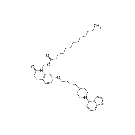 CCCCCCCCCCCCC(=O)OCN1C(=O)CCc2ccc(OCCCCN3CCN(c4cccc5sccc45)CC3)cc21